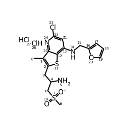 Cc1c(CC(N)CS(C)(=O)=O)sc2c(NCc3ccco3)cc(Cl)nc12.Cl.Cl